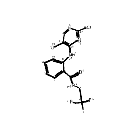 O=C(NCC(F)(F)F)c1ccccc1Nc1nc(Cl)ncc1Cl